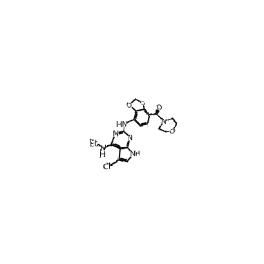 CCNc1nc(Nc2ccc(C(=O)N3CCOCC3)c3c2OCO3)nc2[nH]cc(Cl)c12